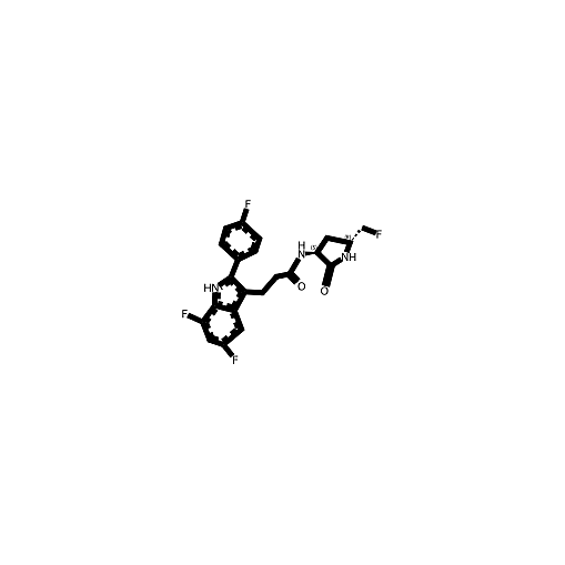 O=C(CCc1c(-c2ccc(F)cc2)[nH]c2c(F)cc(F)cc12)N[C@H]1C[C@H](CF)NC1=O